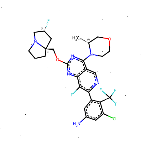 C[C@@H]1COCCN1c1nc(OC[C@@]23CCCN2C[C@H](F)C3)nc2c(F)c(-c3cc(N)cc(Cl)c3C(F)(F)F)ncc12